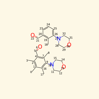 Cc1c(C)c(C=O)c(C)c(N2CCOCC2)c1C.Cc1c(C=O)cccc1N1CCOCC1